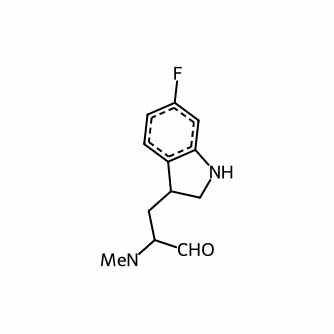 CNC(C=O)CC1CNc2cc(F)ccc21